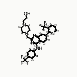 OCCN1CCN(Cc2nc(Nc3ccc(C(F)(F)F)cc3)c3ccc(-c4ncccc4C(F)(F)F)cc3n2)CC1